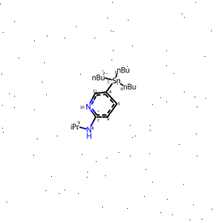 CCC[CH2][Sn]([CH2]CCC)([CH2]CCC)[c]1ccc(NC(C)C)nc1